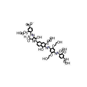 NC(=O)c1nn(-c2ccc3c(O)c(/N=N/c4cc(OCCO)c(/N=N/c5ccc(NOO)cc5S(=O)(=O)O)cc4OCCO)c(SOOO)cc3c2)c(O)c1/N=N/c1ccc([N+](=O)[O-])cc1SOOO